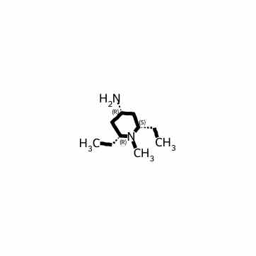 CC[C@@H]1C[C@H](N)C[C@H](CC)N1C